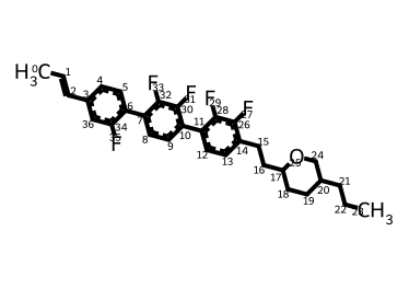 C/C=C/c1ccc(-c2ccc(-c3ccc(CCC4CCC(CCC)CO4)c(F)c3F)c(F)c2F)c(F)c1